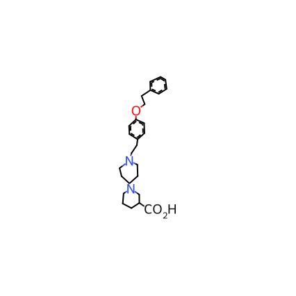 O=C(O)C1CCCN(C2CCN(CCc3ccc(OCCc4ccccc4)cc3)CC2)C1